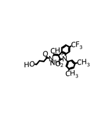 C/C(=C1/C(=O)N(c2cc(C)cc(C)c2)c2cc(C(F)(F)F)ccc21)N(N)C(=O)CCCO